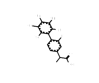 [2H]c1c([2H])c([2H])c(-c2ccc(C(C)C(=O)O)cc2F)c([2H])c1[2H]